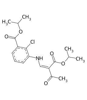 CC(=O)C(=CNc1cccc(C(=O)OC(C)C)c1Cl)C(=O)OC(C)C